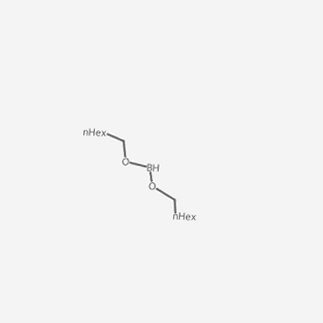 CCCCCCCOBOCCCCCCC